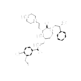 CC[C@H](CN1CC[C@@H](CNC(=O)c2ccc(Cl)c(CI)c2)N[C@@H](CCN2CCNCC2)C1=O)c1ccccc1